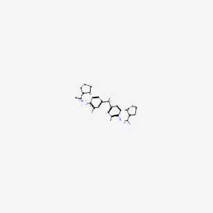 Cc1cc(C(C)c2ccc(NC(C)C3CCCC3)c(C)c2)ccc1NC(C)C1CCCC1